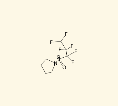 O=S(=O)(N1CCCC1)C(F)(F)C(F)(F)C(F)F